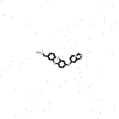 O=C(O)Cc1cccc(Oc2ccc(Oc3ccn4cnnc4c3)cc2C(F)(F)F)c1